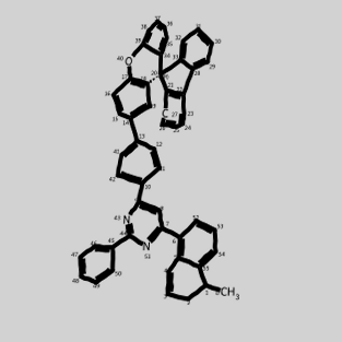 CC1CC=Cc2c(-c3cc(-c4ccc(-c5ccc6c(c5)[C@]5(C7=C(C=CC=CC7)c7ccccc75)c5ccccc5O6)cc4)nc(-c4ccccc4)n3)cccc21